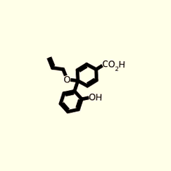 C=CCOC1(c2ccccc2O)C=CC(C(=O)O)C=C1